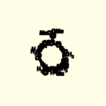 COc1ccc(CC[C@H]2OC(=O)[C@@H]3CCCCN3C(=O)C(=O)C(C)(C)COC(=O)/C=C\CCN(C)C(=O)[C@H](CC3CCCCC3)NC(=O)[C@H](COC(C)(C)C)N(C)C(=O)C(c3ccccc3)NC(=O)CN(C)C(=O)COc3cccc2c3)cc1OC